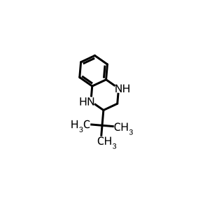 CC(C)(C)C1CNc2ccccc2N1